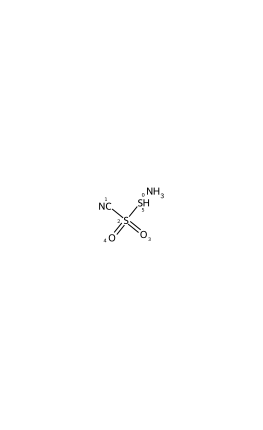 N.N#CS(=O)(=O)S